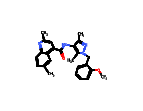 Cc1ccc2nc(C)cc(C(=O)Nc3c(C)nn(Cc4ccccc4OC(F)(F)F)c3C)c2c1